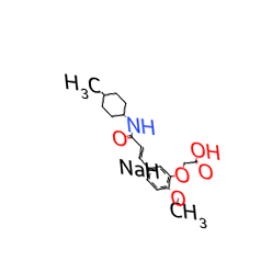 COc1ccc(/C=C/C(=O)N[C@H]2CC[C@H](C)CC2)cc1OCC(=O)O.[NaH]